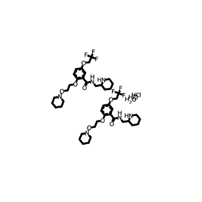 Cl.Cl.O.O=C(NCC1CCCCN1)c1cc(OCC(F)(F)F)ccc1OCCON1CCCCC1.O=C(NCC1CCCCN1)c1cc(OCC(F)(F)F)ccc1OCCON1CCCCC1